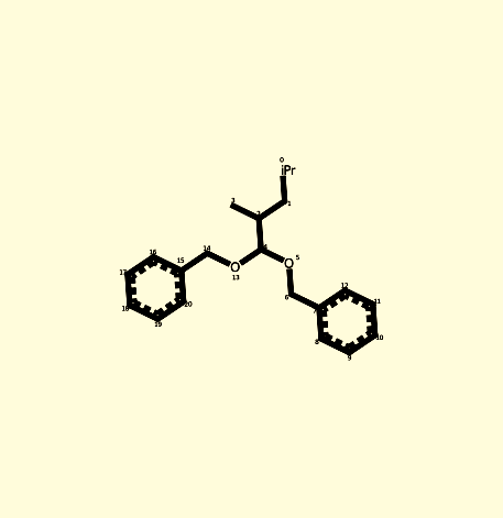 CC(C)CC(C)C(OCc1ccccc1)OCc1ccccc1